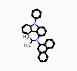 CC(C)N(c1cccc2c1C1C=CC=CC1N2c1ccccc1)c1cc2ccccc2c2ccccc12